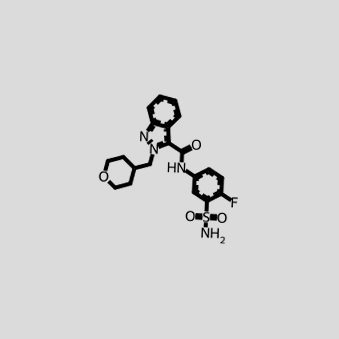 NS(=O)(=O)c1cc(NC(=O)c2c3ccccc3nn2CC2CCOCC2)ccc1F